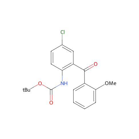 COc1ccccc1C(=O)c1cc(Cl)ccc1NC(=O)OC(C)(C)C